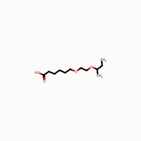 CCC(C)OCCOCCCCCC(=O)O